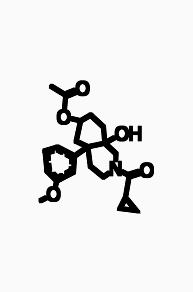 COc1cccc(C23CCN(C(=O)C4CC4)CC2(O)CCC(OC(C)=O)C3)c1